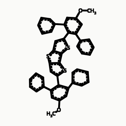 COc1cc(-c2ccccc2)c(-c2cc3sc4cc(-c5c(-c6ccccc6)cc(OC)cc5-c5ccccc5)sc4c3s2)c(-c2ccccc2)c1